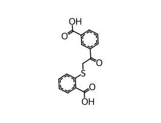 O=C(O)c1cccc(C(=O)CSc2ccccc2C(=O)O)c1